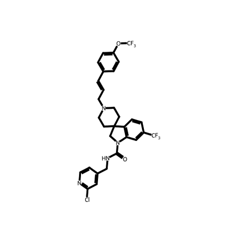 O=C(NCc1ccnc(Cl)c1)N1CC2(CCN(CC=Cc3ccc(OC(F)(F)F)cc3)CC2)c2ccc(C(F)(F)F)cc21